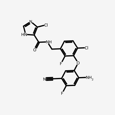 N#Cc1cc(Oc2c(Cl)ccc(CNC(=O)c3[nH]cnc3Cl)c2F)c(N)cc1F